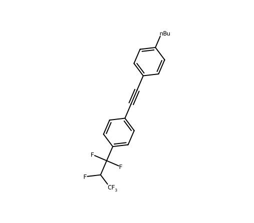 CCCCc1ccc(C#Cc2ccc(C(F)(F)C(F)C(F)(F)F)cc2)cc1